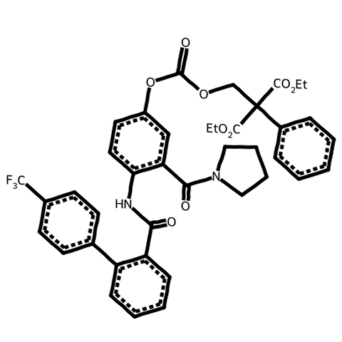 CCOC(=O)C(COC(=O)Oc1ccc(NC(=O)c2ccccc2-c2ccc(C(F)(F)F)cc2)c(C(=O)N2CCCC2)c1)(C(=O)OCC)c1ccccc1